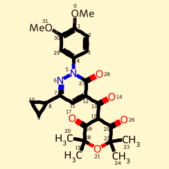 COc1ccc(-n2nc(C3CC3)cc(C(=O)C3C(=O)C(C)(C)OC(C)(C)C3=O)c2=O)cc1OC